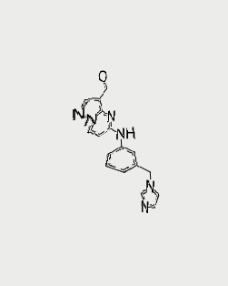 O=Cc1cnn2ccc(Nc3cccc(Cn4ccnc4)c3)nc12